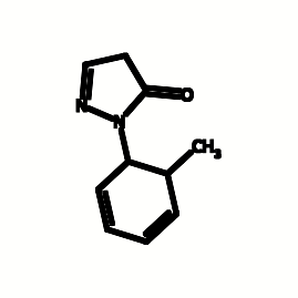 CC1C=CC=CC1N1N=CCC1=O